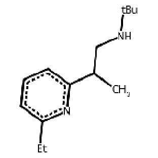 CCc1cccc(C(C)CNC(C)(C)C)n1